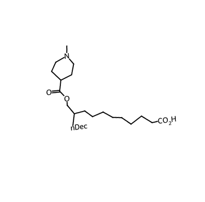 CCCCCCCCCCC(CCCCCCCCC(=O)O)COC(=O)C1CCN(C)CC1